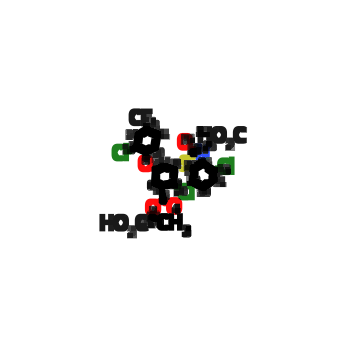 C[C@H](OC(=O)c1cc(Oc2ccc(C(F)(F)F)cc2Cl)ccc1Cl)C(=O)O.O=C(O)Cn1c(=O)sc2cccc(Cl)c21